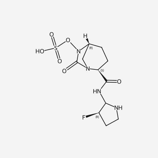 O=C(NC1NCC[C@H]1F)[C@@H]1CC[C@@H]2CN1C(=O)N2OS(=O)(=O)O